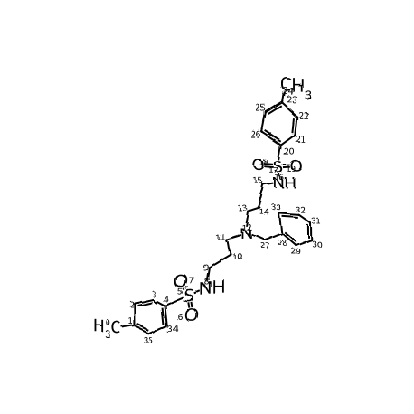 Cc1ccc(S(=O)(=O)NCCCN(CCCNS(=O)(=O)c2ccc(C)cc2)Cc2ccccc2)cc1